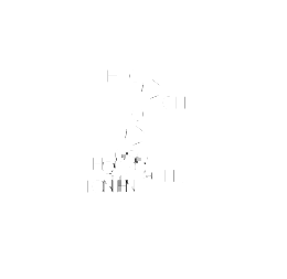 Cc1ccc(C)c(COc2ccc(S(=O)(=O)C3(C)O[C@@H](C)CN[C@@H]3C(=O)NO)cc2)c1